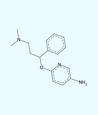 CN(C)CCC(Oc1ccc(N)cn1)c1ccccc1